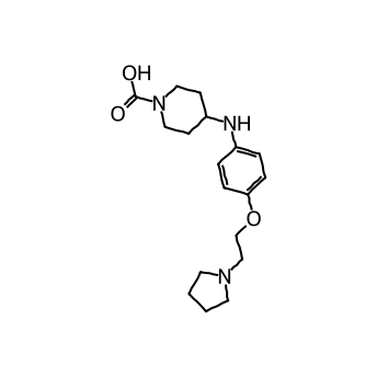 O=C(O)N1CCC(Nc2ccc(OCCN3CCCC3)cc2)CC1